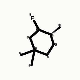 C[C@@H]1CCC(C)(C)CC1F